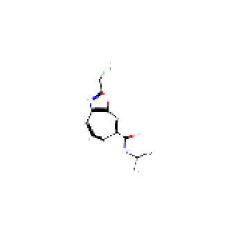 CCCC(CCC)NC(=O)C1=Cc2oc(CCl)nc2C=C=C1